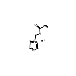 O=C(O)CC[n+]1ccncc1.[Br-]